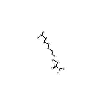 CC(C)CCCCCCCCCC(=O)C(C)C